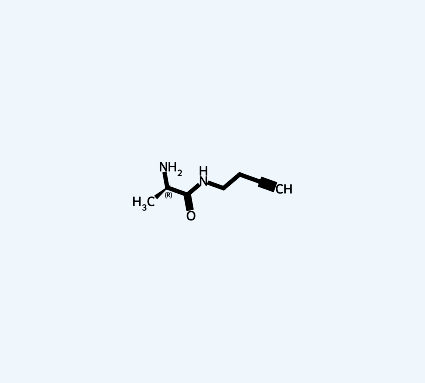 C#CCCNC(=O)[C@@H](C)N